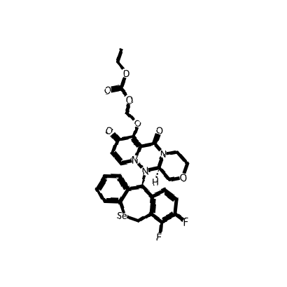 CCOC(=O)OCOc1c2n(ccc1=O)N([C@@H]1c3ccccc3[Se]Cc3c1ccc(F)c3F)[C@@H]1COCCN1C2=O